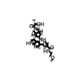 COCCNC(=O)c1cnc(-c2cnc3[nH]ccc3c2NC2C[C@@H]3CN(C(=O)[C@H](C)O)C[C@@H]3C2)s1